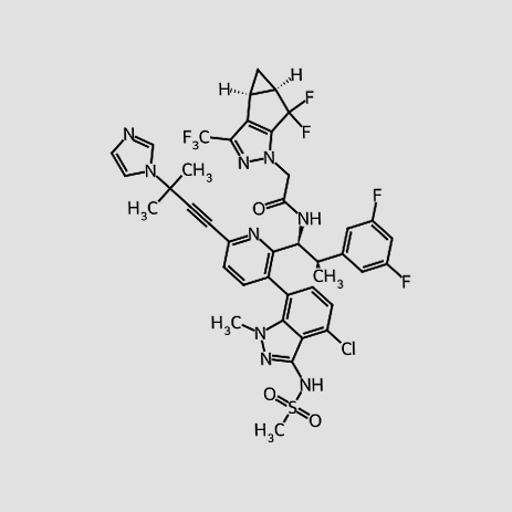 C[C@H](c1cc(F)cc(F)c1)[C@H](NC(=O)Cn1nc(C(F)(F)F)c2c1C(F)(F)[C@@H]1C[C@H]21)c1nc(C#CC(C)(C)n2ccnc2)ccc1-c1ccc(Cl)c2c(NS(C)(=O)=O)nn(C)c12